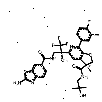 Cc1cc(-c2nc(C(O)(CNC(=O)c3ccc4nc(N)sc4c3)C(F)(F)F)cc3c2OC[C@]3(C)C(=O)NCC(C)(C)O)ccc1F